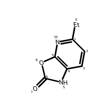 CCc1ccc2[nH]c(=O)oc2n1